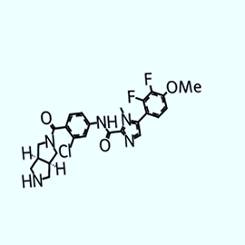 COc1ccc(-c2cnc(C(=O)Nc3ccc(C(=O)N4C[C@H]5CNC[C@H]5C4)c(Cl)c3)n2C)c(F)c1F